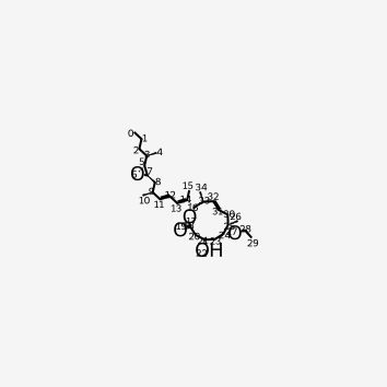 CCC[C@@H](C)[C@H]1O[C@@H]1C[C@H](C)/C=C/C=C(\C)[C@H]1OC(=O)C[C@H](O)CC[C@@](C)(OCC)C/C=C/[C@@H]1C